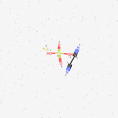 N#CC#N.O=S(=O)(O)O.S